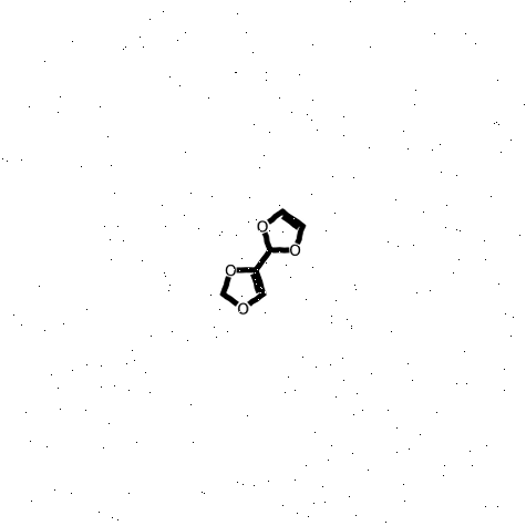 C1=COC(C2=COCO2)O1